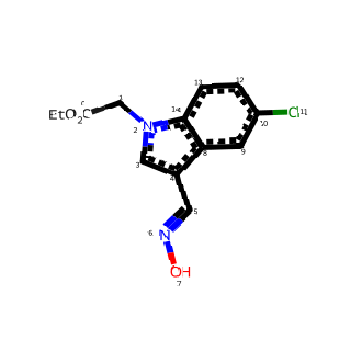 CCOC(=O)Cn1cc(C=NO)c2cc(Cl)ccc21